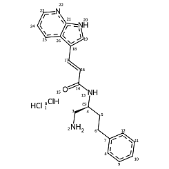 Cl.Cl.NC[C@H](CCc1ccccc1)NC(=O)C=Cc1c[nH]c2ncccc12